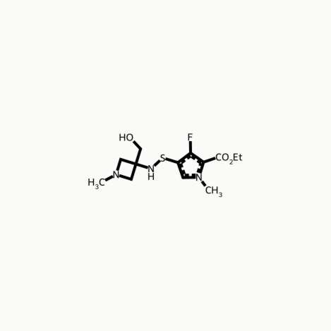 CCOC(=O)c1c(F)c(SNC2(CO)CN(C)C2)cn1C